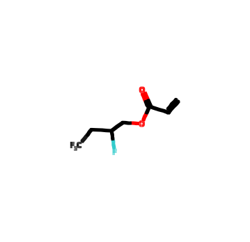 C=CC(=O)OCC(F)CC(F)(F)F